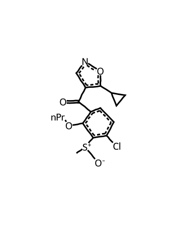 CCCOc1c(C(=O)c2cnoc2C2CC2)ccc(Cl)c1[S+](C)[O-]